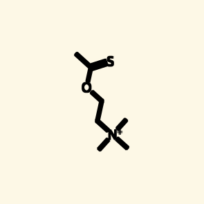 CC(=S)OCC[N+](C)(C)C